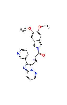 COc1cc2cn(C(=O)/C=C/c3c(-c4cccnc4)nc4cccnn34)cc2cc1OC